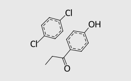 CCC(=O)c1ccc(O)cc1.Clc1ccc(Cl)cc1